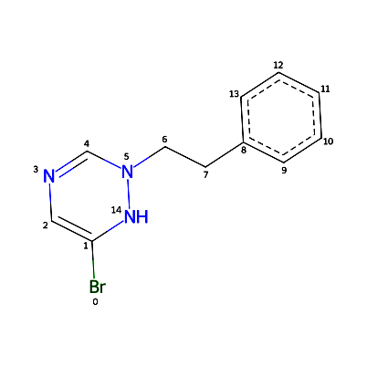 BrC1=CN=CN(CCc2ccccc2)N1